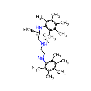 C#C[C@](C)(CNCCNc1c(C)c(C)c(C)c(C)c1C)Nc1c(C)c(C)c(C)c(C)c1C